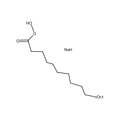 CCCCCCCCCCCCCCCCCC(=O)OO.[NaH]